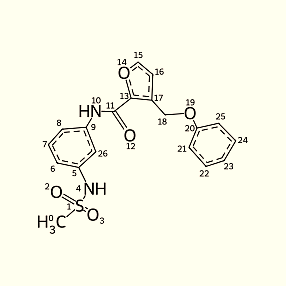 CS(=O)(=O)Nc1cccc(NC(=O)c2occc2COc2ccccc2)c1